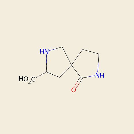 O=C(O)C1CC2(CCNC2=O)CN1